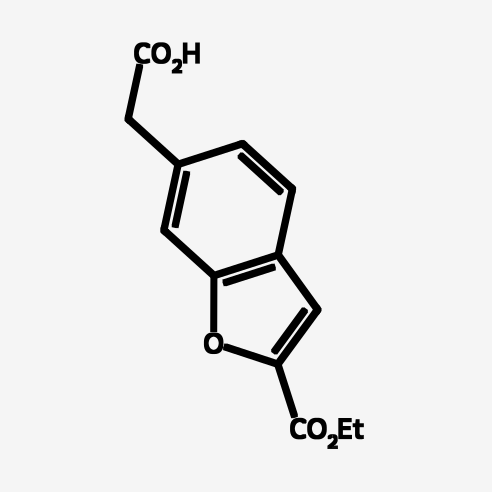 CCOC(=O)c1cc2ccc(CC(=O)O)cc2o1